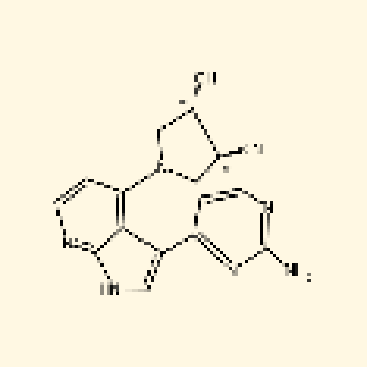 N#C[C@H]1CN(c2ccnc3[nH]cc(-c4ccnc(N)n4)c23)C[C@@H]1O